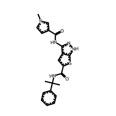 Cn1ccc(C(=O)Nc2n[nH]c3sc(C(=O)NC(C)(C)c4ccccc4)cc23)c1